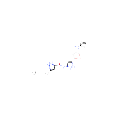 COCc1cc(C(=O)Nc2cc([C@@H]3C[C@H](N(C(=O)O)C45CC(C4)C5)CO3)[nH]n2)n(C)n1